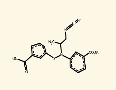 CCOC(=O)c1cccc(N(Sc2cccc(C(=O)N=O)c2)C(C)CN=[N+]=[N-])c1